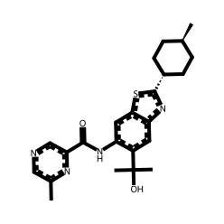 Cc1cncc(C(=O)Nc2cc3sc([C@H]4CC[C@H](C)CC4)nc3cc2C(C)(C)O)n1